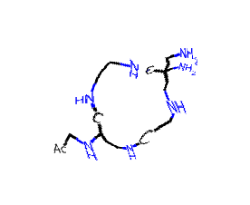 CC(=O)CNC1CNCCNCC(N)(CN)CNCCNC1